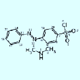 CNC.O=S(=O)(Cl)c1ccc(N=Nc2ccccc2)cc1